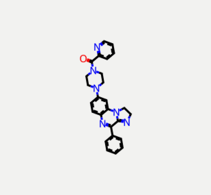 O=C(c1ccccn1)N1CCN(c2ccc3c(c2)N2CCN=C2C(c2ccccc2)=N3)CC1